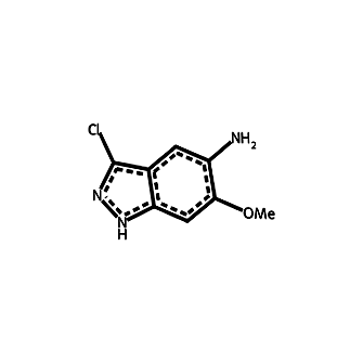 COc1cc2[nH]nc(Cl)c2cc1N